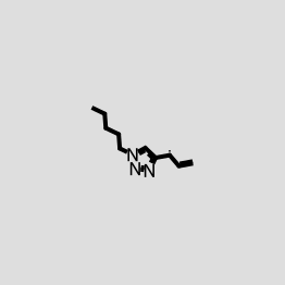 C=C[CH]c1cn(CCCCC)nn1